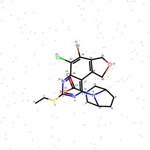 CCSc1nc(N2C3CCC2CN(C(=O)O)C3)c2c3c(c(Br)c(Cl)c2n1)COC3